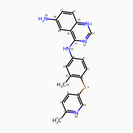 Cc1ccc(Sc2ccc(Nc3ncnc4ccc(N)cc34)cc2C)cn1